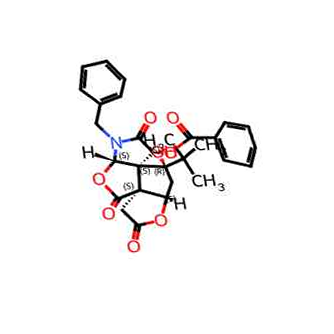 CC(C)(C)[C@]1(O)C[C@@H]2OC(=O)C[C@@]23C(=O)O[C@@H]2N(Cc4ccccc4)C(=O)[C@@H](OC(=O)c4ccccc4)[C@]213